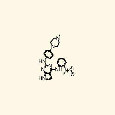 CN1CCN(c2ccc(Nc3nc(Nc4ccccc4N(C)[S+](C)[O-])c4cc[nH]c4n3)cc2)CC1